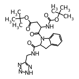 CC(C)(C)OC(=O)CC(NC(=O)OC(C)(C)C)C(=O)N1c2ccccc2CC1C(=O)NCc1nn[nH]n1